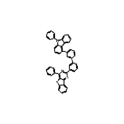 c1ccc(-c2nc(-c3cccc(-c4cccc(-c5cccc6c5c5ccccc5n6-c5ccccc5)c4)c3)nc3c2sc2ccccc23)cc1